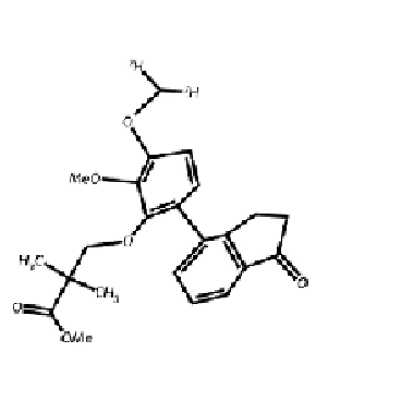 [2H]C([2H])Oc1ccc(-c2cccc3c2CCC3=O)c(OCC(C)(C)C(=O)OC)c1OC